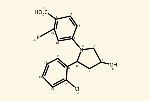 O=C(O)c1ccc(N2CC(O)CC2c2ccccc2Cl)cc1F